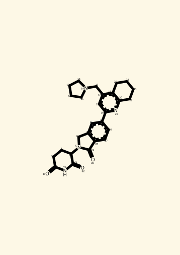 O=C1CCC(N2Cc3cc(-c4cc(CN5CCCC5)c5c(n4)CCCC5)ccc3C2=O)C(=O)N1